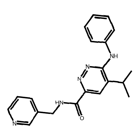 CC(C)c1cc(C(=O)NCc2cccnc2)nnc1Nc1ccccc1